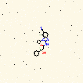 N#Cc1ccc2nc(NC(=O)C[C@](O)(F)c3ccccc3)n(C3CCC3)c2c1F